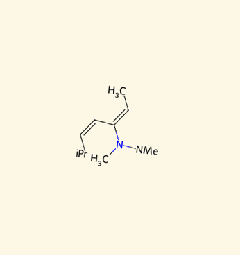 C/C=C(\C=C/C(C)C)N(C)NC